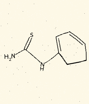 NC(=S)NC1=CC=CCC1